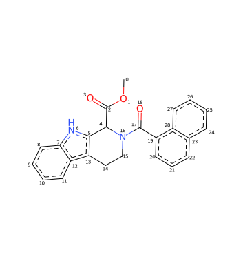 COC(=O)C1c2[nH]c3ccccc3c2CCN1C(=O)c1cccc2ccccc12